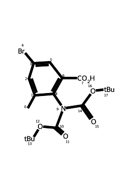 Cc1cc(Br)cc(C(=O)O)c1N(C(=O)OC(C)(C)C)C(=O)OC(C)(C)C